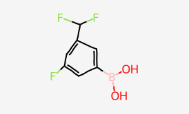 OB(O)c1cc(F)cc(C(F)F)c1